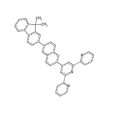 CC1(C)c2ccccc2-c2ccc(-c3ccc4cc(-c5cc(-c6ccccn6)nc(-c6ccccn6)c5)ccc4c3)cc21